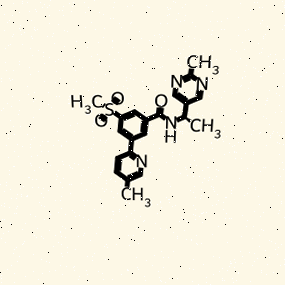 Cc1ccc(-c2cc(C(=O)N[C@H](C)c3cnc(C)nc3)cc(S(C)(=O)=O)c2)nc1